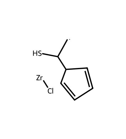 [CH2]C(S)C1C=CC=C1.[Cl][Zr]